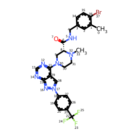 Cc1cc(CNC(=O)[C@H]2CN(c3ncnc4nn(-c5ccc(C(F)(F)F)cc5)cc34)CCN2C)ccc1Br